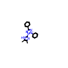 Cc1nc(-n2nc(-c3ccccc3)n[n+]2-c2ccccc2)[nH]c1C